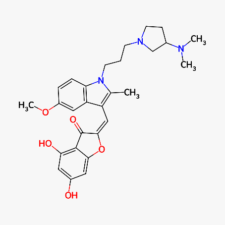 COc1ccc2c(c1)c(C=C1Oc3cc(O)cc(O)c3C1=O)c(C)n2CCCN1CCC(N(C)C)C1